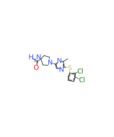 CC(=O)C1(N)CCN(c2cnc(Sc3cccc(Cl)c3Cl)c(C)n2)CC1